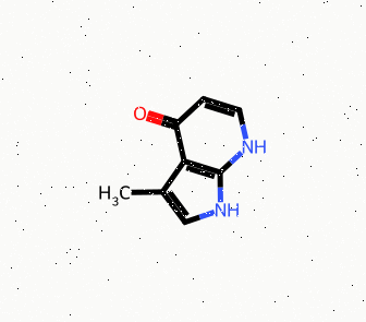 Cc1c[nH]c2[nH]ccc(=O)c12